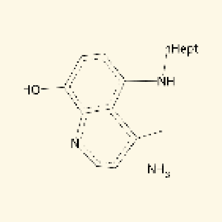 CCCCCCCNc1ccc(O)c2nccc(C)c12.N